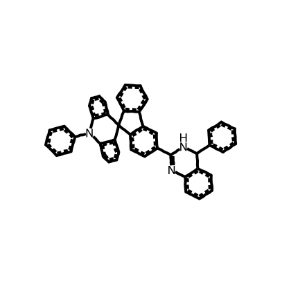 c1ccc(C2NC(c3ccc4c(c3)-c3ccccc3C43c4ccccc4N(c4ccccc4)c4ccccc43)=Nc3ccccc32)cc1